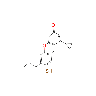 CCCc1cc2c(cc1S)CC1=C(CC(=O)C=C1C1CC1)O2